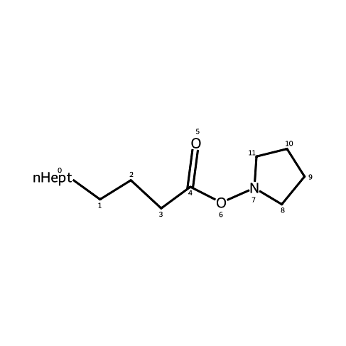 CCCCCCCCCCC(=O)ON1CCCC1